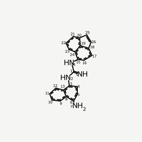 N=C(Nc1ccc(N)c2ccccc12)Nc1ccc2c3c(cccc13)C=C2